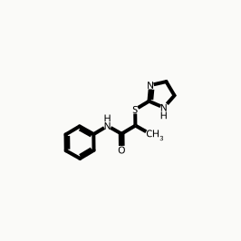 CC(SC1=NCCN1)C(=O)Nc1ccccc1